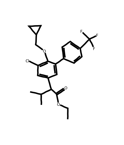 CCOC(=O)C(c1cc(Cl)c(OCC2CC2)c(-c2ccc(C(F)(F)F)cc2)c1)C(C)C